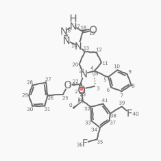 C[C@@H](OC[C@@]1(c2ccccc2)CCC(n2nn[nH]c2=O)CN1C(=O)OCc1ccccc1)c1cc(CF)cc(CF)c1